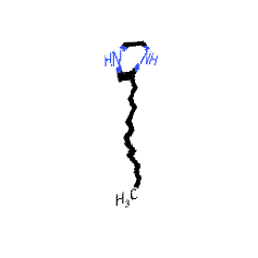 CCCCCCCCCCCCC1CNCCN1